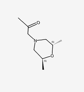 CC(=O)CN1C[C@H](C)O[C@@H](C)C1